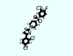 O=S(=O)(c1ccc(F)c(Cl)c1)C1CCN(c2nc(-c3ccc(Cl)cc3Cl)cs2)CC1